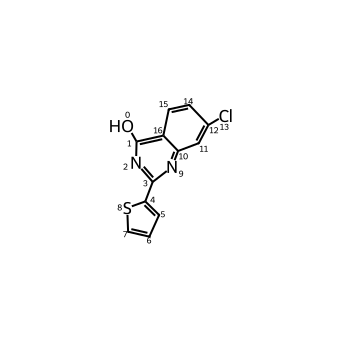 Oc1nc(-c2cccs2)nc2cc(Cl)ccc12